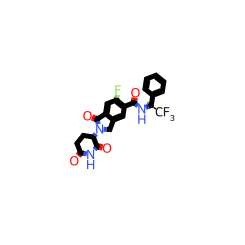 O=C1CCC(N2Cc3cc(C(=O)N[C@H](c4ccccc4)C(F)(F)F)c(F)cc3C2=O)C(=O)N1